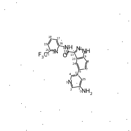 Nc1cncc(-c2ccc3[nH]nc(C(=O)Nc4cccc(C(F)(F)F)n4)c3c2)c1